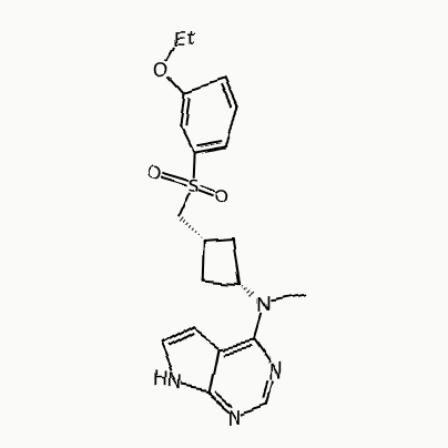 CCOc1cccc(S(=O)(=O)C[C@H]2C[C@@H](N(C)c3ncnc4[nH]ccc34)C2)c1